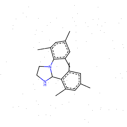 Cc1cc(C)c(C2NCCN2c2c(C)cc(C)cc2C)c(C)c1